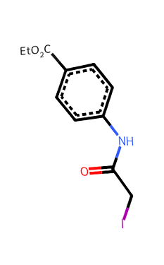 CCOC(=O)c1ccc(NC(=O)CI)cc1